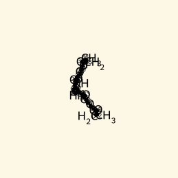 C=C(C)C(=O)OCCOCCOC(=O)NCc1cccc(CNC(=O)OCCOCCOC(=O)C(=C)C)c1